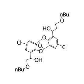 CCCCOCCC(O)c1cc(Cl)cc2c1OC1OC2Oc2c(C(O)COCCCC)cc(Cl)cc21